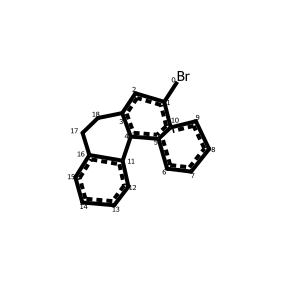 Brc1cc2c(c3ccccc13)-c1ccccc1CC2